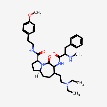 CCN(CC)CCC1CC[C@H]2CC[C@@H](C(=O)NCCc3ccc(OC)cc3)N2C(=O)C1NC(=O)C(Cc1ccccc1)NC